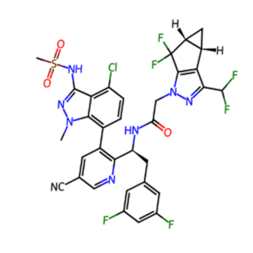 Cn1nc(NS(C)(=O)=O)c2c(Cl)ccc(-c3cc(C#N)cnc3[C@H](Cc3cc(F)cc(F)c3)NC(=O)Cn3nc(C(F)F)c4c3C(F)(F)[C@@H]3C[C@H]43)c21